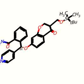 CC(C)(C)[Si](C)(C)OCC1COc2cc(O[C@H](c3ccncc3)c3ccccc3C(N)=O)ccc2C1=O